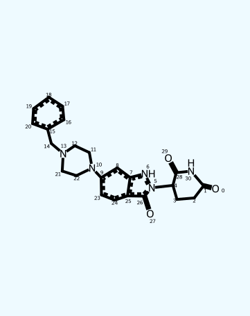 O=C1CCC(n2[nH]c3cc(N4CCN(Cc5ccccc5)CC4)ccc3c2=O)C(=O)N1